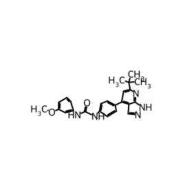 COc1cccc(NC(=O)Nc2ccc(-c3cc(C(C)(C)C)nc4[nH]ncc34)cc2)c1